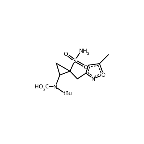 Cc1cc(CC2(S(N)(=O)=O)CC2N(C(=O)O)C(C)(C)C)no1